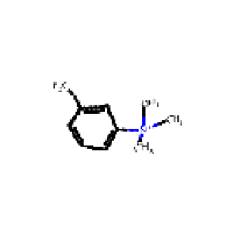 C[N+](C)(C)c1cccc(C(F)(F)F)c1